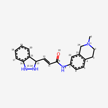 CN1CCc2ccc(NC(=O)C=CC3NNc4ccccc43)cc2C1